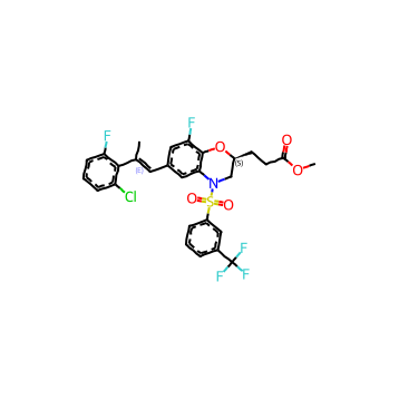 COC(=O)CC[C@H]1CN(S(=O)(=O)c2cccc(C(F)(F)F)c2)c2cc(/C=C(\C)c3c(F)cccc3Cl)cc(F)c2O1